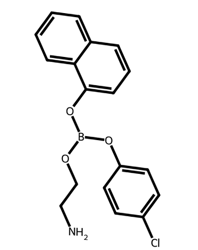 NCCOB(Oc1ccc(Cl)cc1)Oc1cccc2ccccc12